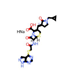 O=C(CSc1ncnc2[nH]ncc12)N[C@@H]1C(=O)N2C(C(=O)O)=C(/C=C3\CCN(CC4CC4)C3=O)CS[C@H]12.[NaH]